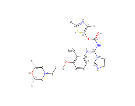 COc1c(OCCCN2C[C@@H](C)O[C@@H](C)C2)ccc2c1N=C(NC(=O)Oc1sc(C)nc1C)N1CCN=C21